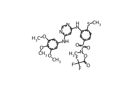 COc1cc(Nc2cc(Nc3cc(S(=O)(=O)N(C)OC(=O)C(F)(F)F)ccc3SC)ncn2)cc(OC)c1OC